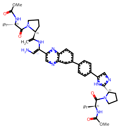 C=C(N/C(=C\N)c1cnc2cc(-c3ccc(-c4cnc([C@@H]5CCCN5C(=O)[C@@H](NC(=O)OC)C(C)C)[nH]4)cc3)ccc2n1)[C@@H]1CCCN1C(=O)[C@@H](NC(=O)OC)C(C)C